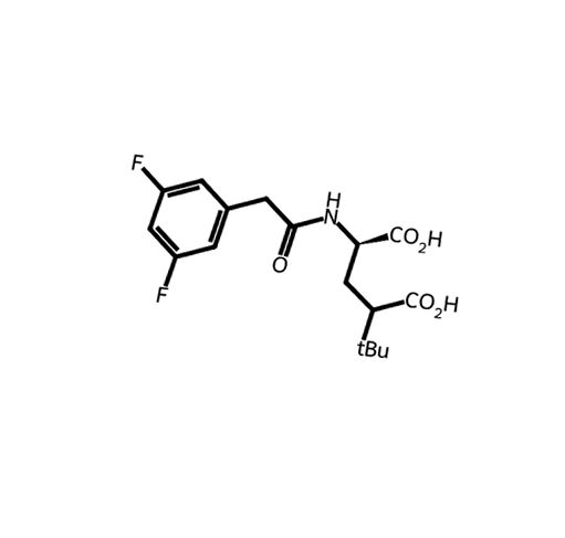 CC(C)(C)C(C[C@@H](NC(=O)Cc1cc(F)cc(F)c1)C(=O)O)C(=O)O